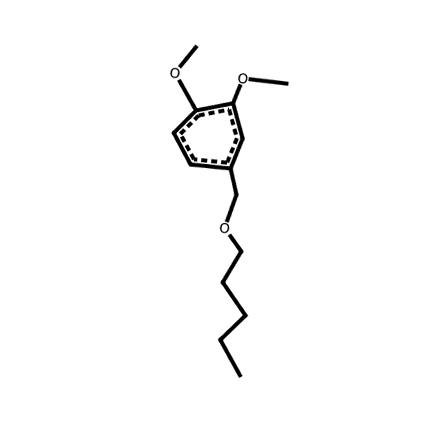 CCCCCOCc1ccc(OC)c(OC)c1